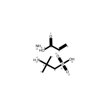 C=CC(=O)O.CC(C)(N)CS(=O)(=O)O.N